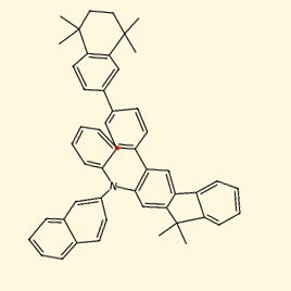 CC1(C)CCC(C)(C)c2cc(-c3ccc(-c4cc5c(cc4N(c4ccccc4)c4ccc6ccccc6c4)C(C)(C)c4ccccc4-5)cc3)ccc21